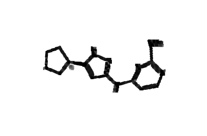 CNc1nccc(Nc2cc([C@H]3C[CH]CC3)[nH]n2)n1